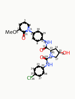 COc1cccn(-c2ccc(NC(=O)[C@H]3C[C@@H](O)CN3C(=O)Nc3ccc(Cl)cc3)cc2)c1=O